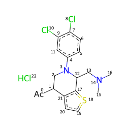 CC(=O)C1CN(c2ccc(Cl)c(Cl)c2)C(CN(C)C)c2sccc21.Cl